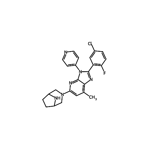 Cc1cc(N2CC3CCC(C2)N3)nc2c1nc(-c1cc(Cl)ccc1F)n2-c1ccncc1